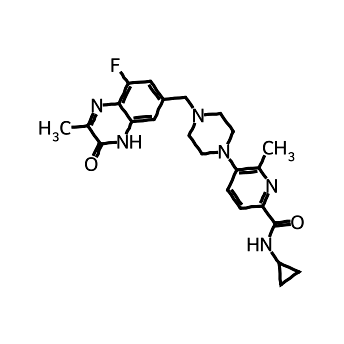 Cc1nc(C(=O)NC2CC2)ccc1N1CCN(Cc2cc(F)c3nc(C)c(=O)[nH]c3c2)CC1